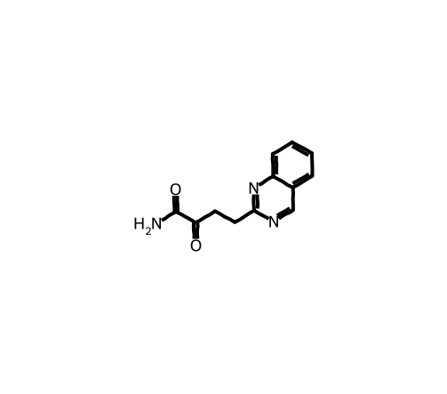 NC(=O)C(=O)CCc1ncc2ccccc2n1